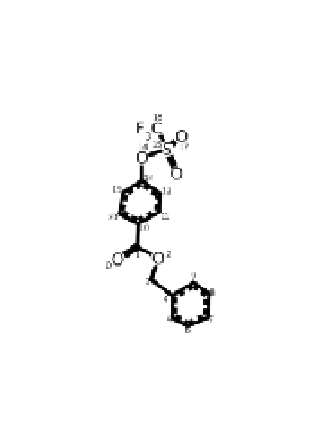 O=C(OCc1ccccc1)c1ccc(OS(=O)(=O)C(F)(F)F)cc1